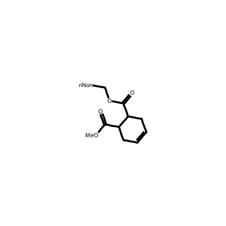 CCCCCCCCCCOC(=O)C1CC=CCC1C(=O)OC